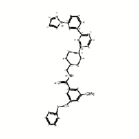 COc1cc(OCc2ccccc2)cc(C(=O)NCC2CCN(c3ccnc(-c4cccc(-n5cccn5)c4)n3)CC2)c1